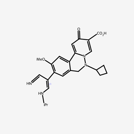 COc1cc2c(cc1/C(C=N)=C/NC(C)C)CN(C1CCC1)n1cc(C(=O)O)c(=O)cc1-2